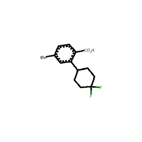 CC(C)(C)c1ccc(C(=O)O)c(C2CCC(F)(F)CC2)c1